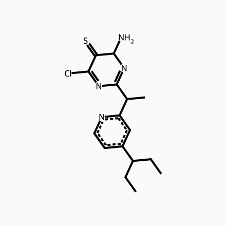 CCC(CC)c1ccnc(C(C)C2=NC(N)C(=S)C(Cl)=N2)c1